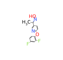 C/C(=N\O)c1ccc(Oc2ccc(F)cc2F)nc1